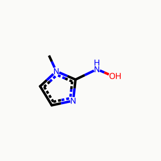 Cn1ccnc1NO